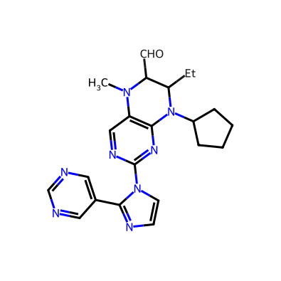 CCC1C(C=O)N(C)c2cnc(-n3ccnc3-c3cncnc3)nc2N1C1CCCC1